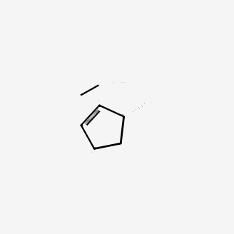 CC(=O)O.O[C@H]1C=CCC1